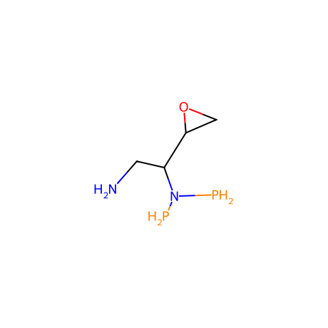 NCC(C1CO1)N(P)P